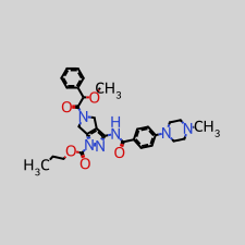 CCCOC(=O)n1nc(NC(=O)c2ccc(N3CCN(C)CC3)cc2)c2c1CN(C(=O)C(OC)c1ccccc1)C2